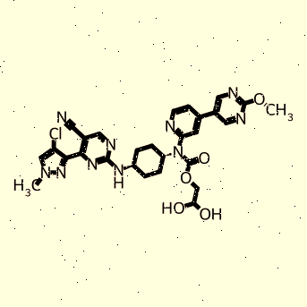 COc1ncc(-c2ccnc(N(C(=O)OCC(O)O)[C@H]3CC[C@H](Nc4ncc(C#N)c(-c5nn(C)cc5Cl)n4)CC3)c2)cn1